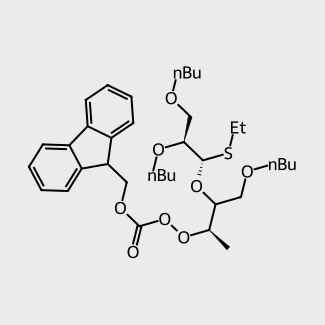 CCCCOCC(O[C@@H](SCC)[C@H](COCCCC)OCCCC)[C@@H](C)OOC(=O)OCC1c2ccccc2-c2ccccc21